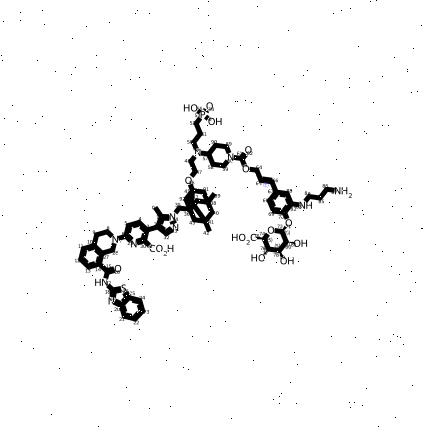 Cc1c(-c2ccc(N3CCc4cccc(C(=O)Nc5nc6ccccc6s5)c4C3)nc2C(=O)O)cnn1CC12CC3(C)CC(C)(C1)CC(OCCN(CCCP(=O)(O)O)C1CCN(C(=O)OC/C=C/c4ccc(O[C@@H]5O[C@H](C(=O)O)[C@@H](O)[C@H](O)[C@H]5O)c(NCCCN)c4)CC1)(C3)C2